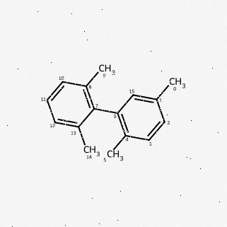 Cc1ccc(C)c(-c2c(C)c[c]cc2C)c1